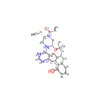 C=CC(=O)N1CCN(c2ncnc3cc(-c4c(O)cccc4F)c4c(c23)OC(C)(C)CC4)C[C@@H]1CC#N